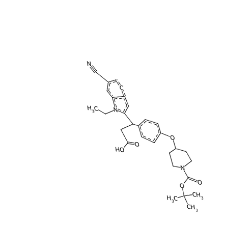 CCn1c(C(CC(=O)O)c2ccc(OC3CCN(C(=O)OC(C)(C)C)CC3)cc2)cc2ccc(C#N)cc21